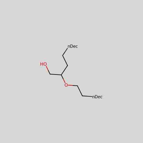 CCCCCCCCCCCCOC(CO)CCCCCCCCCCCC